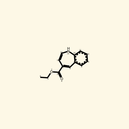 CCOC(=O)C1=Cc2ccccc2NC=C1